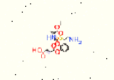 CCOC(=O)[C@H](C)N[P@@](Oc1ccccc1OC(=O)/C=C/C(=O)O)SCCN